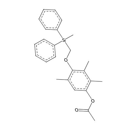 CC(=O)Oc1cc(C)c(OC[Si](C)(c2ccccc2)c2ccccc2)c(C)c1C